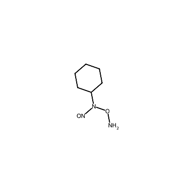 NON(N=O)C1CCCCC1